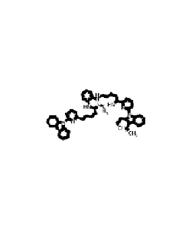 C=Cc1c(/C=C\C)n(-c2cccc(C(=N)/C=C\C=C\Nc3ccccc3NC(/C=C\C=C\c3cccc(-n4c5c(c6ccccc64)CCC=C5)n3)=N/C)n2)c2ccccc12